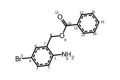 Nc1ccc(Br)cc1COC(=O)c1ccccc1